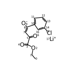 CCOC(=O)C(=O)/C=C(/[O-])c1cccc(Cl)c1.[Li+]